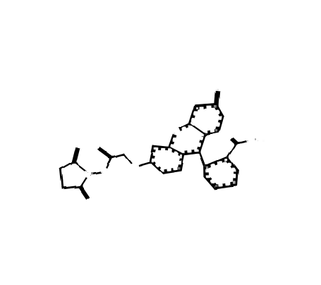 COC(=O)c1ccccc1-c1c2ccc(=O)cc-2oc2cc(OCC(=O)ON3C(=O)CCC3=O)ccc12